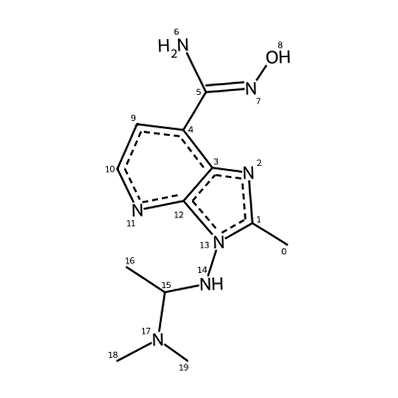 Cc1nc2c(C(N)=NO)ccnc2n1NC(C)N(C)C